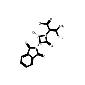 CC(C)=C(C(=O)Cl)N1C(=O)[C@H](N2C(=O)c3ccccc3C2=O)[C@@H]1Cl